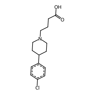 O=C(O)CCCN1CCC(c2ccc(Cl)cc2)CC1